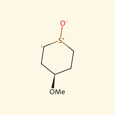 CO[C@H]1C[C][S+]([O-])CC1